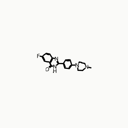 CN1CCN(c2ccc(-c3nc4ccc(F)cc4c(=O)[nH]3)cc2)CC1